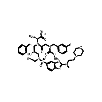 CC(C)CN(C[C@@H](O)[C@H](Cc1ccccc1)N(C(=O)CN(Cc1cccc(F)c1)C(=O)OC(C)(C)C)[C@H](C(N)=O)C(C)(C)C)S(=O)(=O)c1ccc2nc(N(C)CCN3CCOCC3)sc2c1